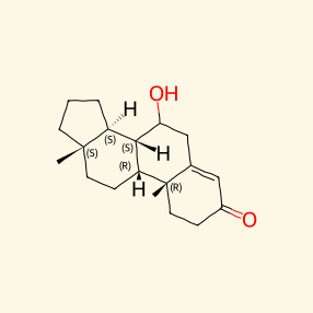 C[C@@]12CCC[C@H]1[C@@H]1C(O)CC3=CC(=O)CC[C@]3(C)[C@@H]1CC2